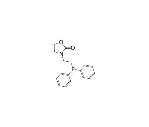 O=C1OCCN1CCP(c1ccccc1)c1ccccc1